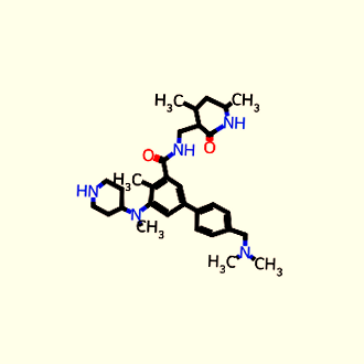 Cc1c(C(=O)NCC2C(=O)NC(C)CC2C)cc(-c2ccc(CN(C)C)cc2)cc1N(C)C1CCNCC1